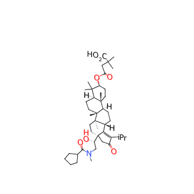 CC(C)C1=C2[C@H]3CC[C@@H]4[C@@]5(C)CC[C@H](OC(=O)CC(C)(C)C(=O)O)C(C)(C)[C@@H]5CC[C@@]4(C)[C@]3(C)CC[C@@]2([C@@H](O)CN(C)C(=O)C2CCCC2)CC1=O